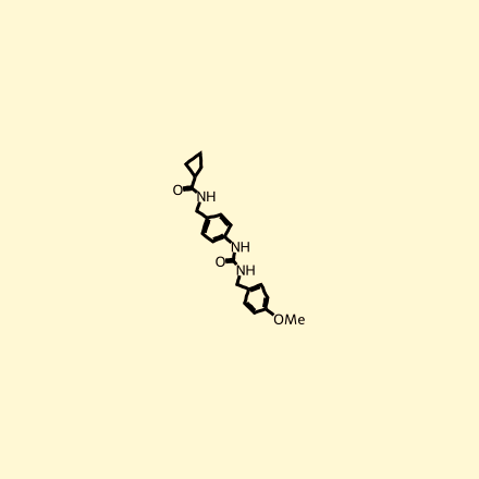 COc1ccc(CNC(=O)Nc2ccc(CNC(=O)C3CCC3)cc2)cc1